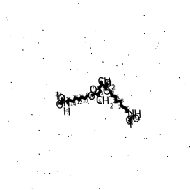 C=C(CCC(=C)C(=O)OCCCCCCCNC(=O)OI)C(=O)OCCCCCCCCNC(=O)OI